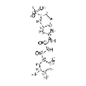 CS(=O)(=O)c1ccc2nc(NC(=O)NC(=O)c3cc(F)c(F)cc3Cl)sc2c1